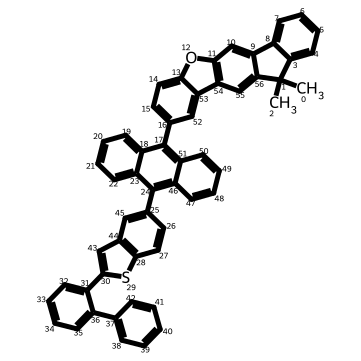 CC1(C)c2ccccc2-c2cc3oc4ccc(-c5c6ccccc6c(-c6ccc7sc(-c8ccccc8-c8ccccc8)cc7c6)c6ccccc56)cc4c3cc21